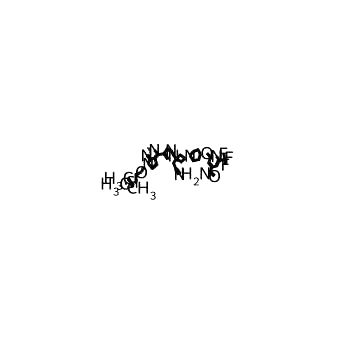 C[Si](C)(C)CCOCn1ccc2c(-c3cnn(C4(CC#N)CC(N5CCC(Oc6cc(C(N)=O)cc(C(F)(F)F)n6)CC5)C4)c3)ncnc21